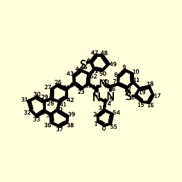 c1ccc(-c2nc(-c3cccc4c3sc3ccccc34)nc(-c3cc(-c4ccc5c6ccccc6c6ccccc6c5c4)cc4sc5ccccc5c34)n2)cc1